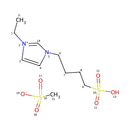 CC[n+]1ccn(CCCCS(=O)(=O)O)c1.CS(=O)(=O)[O-]